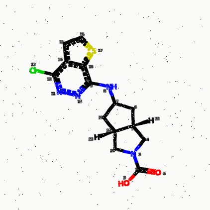 O=C(O)N1C[C@H]2CC(Nc3nnc(Cl)c4ccsc34)C[C@H]2C1